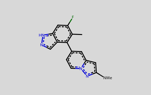 CNc1cc2cc(-c3c(C)c(F)cc4[nH]ncc34)ccn2n1